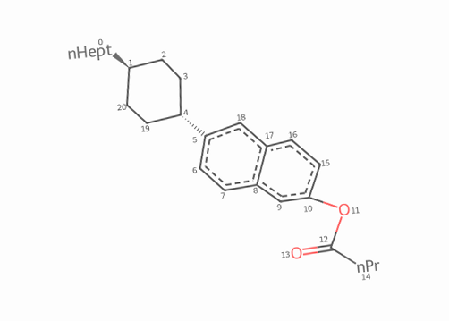 CCCCCCC[C@H]1CC[C@H](c2ccc3cc(OC(=O)CCC)ccc3c2)CC1